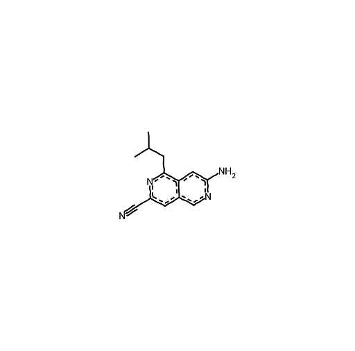 CC(C)Cc1nc(C#N)cc2cnc(N)cc12